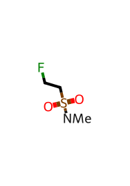 CNS(=O)(=O)CCF